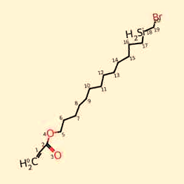 C=CC(=O)OCCCCCCCCCCCCC[SiH2]CBr